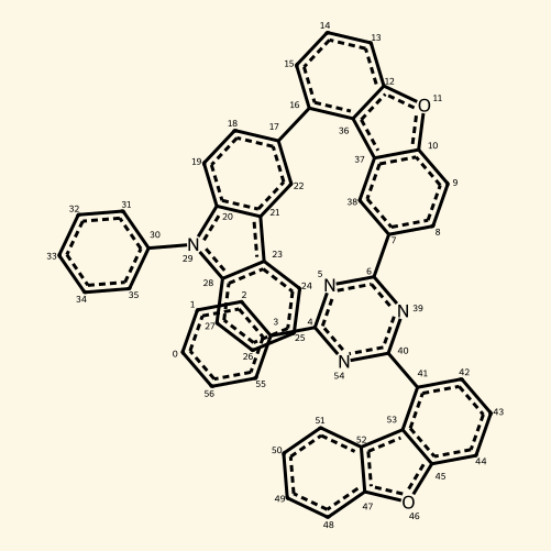 c1ccc(-c2nc(-c3ccc4oc5cccc(-c6ccc7c(c6)c6ccccc6n7-c6ccccc6)c5c4c3)nc(-c3cccc4oc5ccccc5c34)n2)cc1